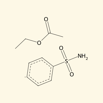 CCOC(C)=O.NS(=O)(=O)c1cc[c]cc1